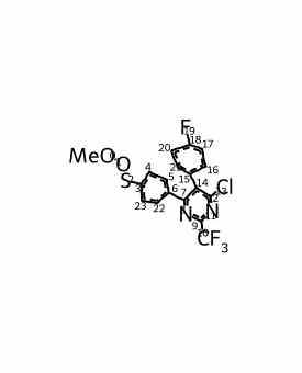 COOSc1ccc(-c2nc(C(F)(F)F)nc(Cl)c2-c2ccc(F)cc2)cc1